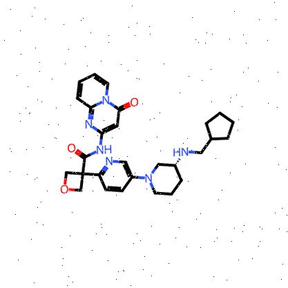 O=C(Nc1cc(=O)n2ccccc2n1)C1(c2ccc(N3CCC[C@@H](NCC4CCCC4)C3)cn2)COC1